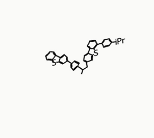 CC(C)c1ccc(-c2cccc3c2sc2cc(CC(C)c4ccc(-c5ccc6c(c5)sc5ccccc56)cc4)ccc23)cc1